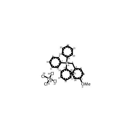 COc1ccc(C[P+](c2ccccc2)(c2ccccc2)c2ccccc2)cc1.[Cl][Fe-]([Cl])([Cl])[Cl]